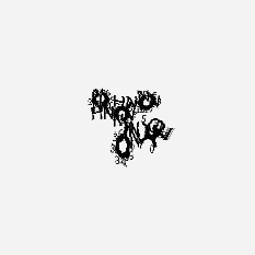 Cc1noc(C)c1Cn1nc(-c2nc(Nc3ccncn3)cc(Nc3ccncn3)n2)c2ccccc21